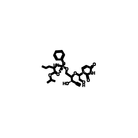 C#C[C@H](O)C(COP(=S)(NC(CCC)C(=O)OC(C)C)Oc1ccccc1)O[C@H](CO)n1ccc(=O)[nH]c1=O